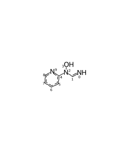 N=CN(O)c1ccccn1